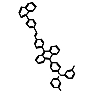 Cc1cccc(N(c2ccc(-c3c4ccccc4c(-c4ccc(/C=C/c5ccc(-c6cccc7ccccc67)cc5)cc4)c4ccccc34)cc2)c2cccc(C)c2)c1